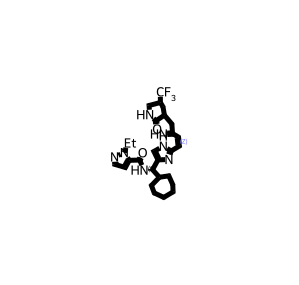 CCn1nccc1C(=O)N[C@H](c1c[nH]c(/C=C\C(=N)CC2CC(C(F)(F)F)CNC2=O)n1)C1CCCCCC1